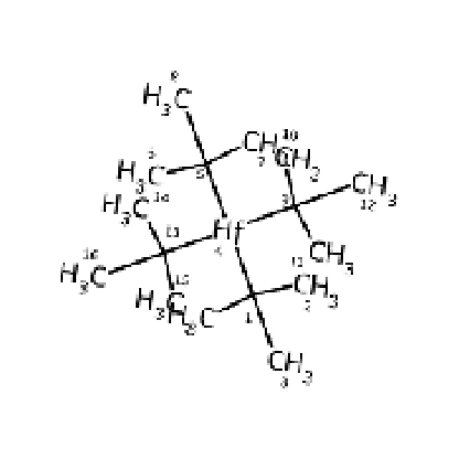 C[C](C)(C)[Hf]([C](C)(C)C)([C](C)(C)C)[C](C)(C)C